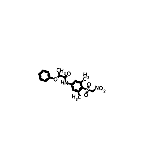 Cc1cc(NC(=O)C(C)Oc2ccccc2)cc(C)c1S(=O)(=O)C[N+](=O)[O-]